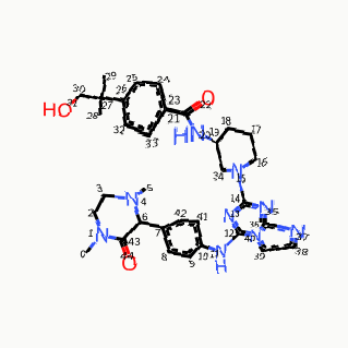 CN1CCN(C)C(c2ccc(Nc3nc(N4CCC[C@H](NC(=O)c5ccc(C(C)(C)CO)cc5)C4)nc4nccn34)cc2)C1=O